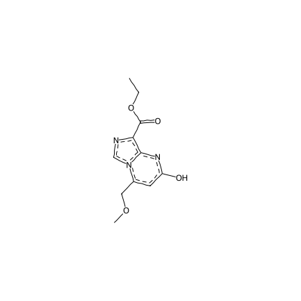 CCOC(=O)c1ncn2c(COC)cc(O)nc12